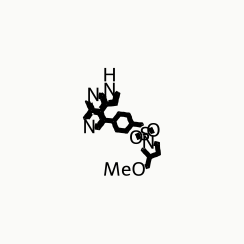 COCC1CCN(S(=O)(=O)CC2CCC(c3cncc4cnc5[nH]ccc5c34)CC2)C1